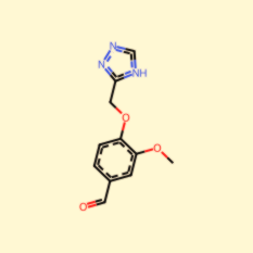 COc1cc(C=O)ccc1OCc1nnc[nH]1